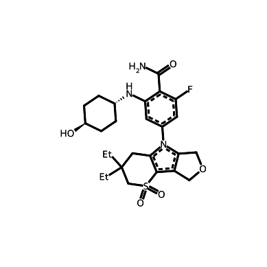 CCC1(CC)Cc2c(c3c(n2-c2cc(F)c(C(N)=O)c(N[C@H]4CC[C@H](O)CC4)c2)COC3)S(=O)(=O)C1